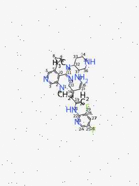 C=Nc1cncc(C2CC2)c1/C(=N\CC(/C=C\N)=C/C(=C)Nc1ncc(F)cc1F)N(C)C1CCNCC1